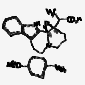 CC[C@@]1(C(C)C(=O)O)CCCN2CCc3c([nH]c4ccccc34)[C@@H]21.COc1ccc(N)cc1